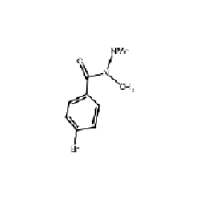 CNN(C)C(=O)c1ccc(Br)cc1